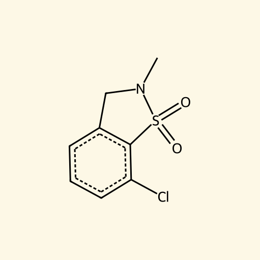 CN1Cc2cccc(Cl)c2S1(=O)=O